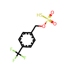 O=S(=O)(S)OCc1ccc(C(F)(F)F)cc1